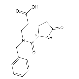 O=C(O)CCN(Cc1ccccc1)C(=O)[C@@H]1CCC(=O)N1